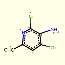 Nc1c(Cl)cc(C=O)nc1Cl